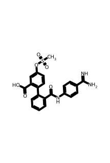 CS(=O)(=O)Oc1ccc(-c2ccccc2C(=O)Nc2ccc(C(=N)N)cc2)c(C(=O)O)c1